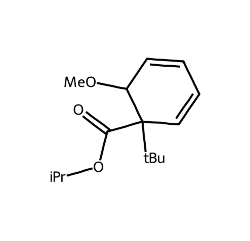 COC1C=CC=CC1(C(=O)OC(C)C)C(C)(C)C